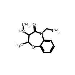 CCN1C(=O)C(NC)C(C)Oc2ccccc21